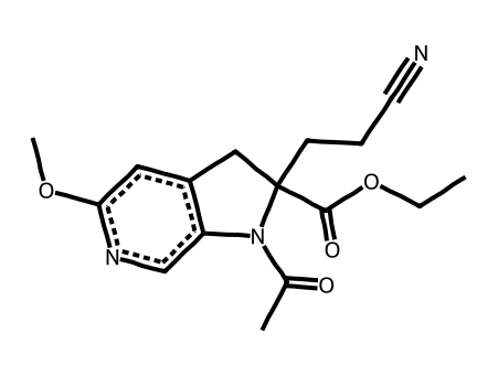 CCOC(=O)C1(CCC#N)Cc2cc(OC)ncc2N1C(C)=O